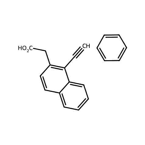 C#Cc1c(CC(=O)O)ccc2ccccc12.c1ccccc1